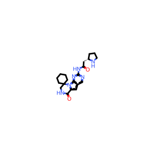 O=C(C[C@@H]1CCCN1)Nc1ncc2cc3n(c2n1)C1(CCCCC1)CNC3=O